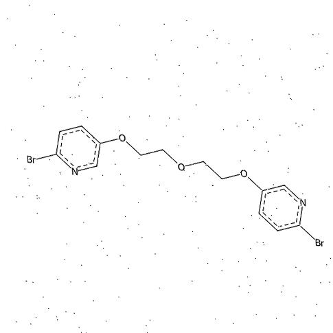 Brc1ccc(OCCOCCOc2ccc(Br)nc2)cn1